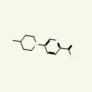 CNC(=O)c1ccc(N2CCC(C)CC2)cn1